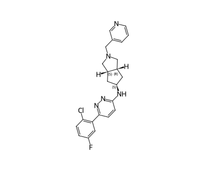 Fc1ccc(Cl)c(-c2ccc(N[C@H]3C[C@@H]4CN(Cc5cccnc5)C[C@@H]4C3)nn2)c1